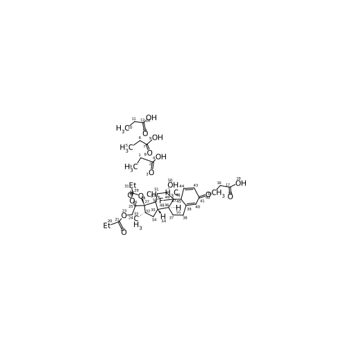 CCC(=O)O.CCC(=O)O.CCC(=O)O.CCC(=O)O.CCC(=O)OCC(=O)[C@@]1(OC(=O)CC)[C@@H](C)C[C@H]2[C@@H]3CCC4=CC(=O)C=C[C@]4(C)C3(F)[C@@H](O)C[C@@]21C